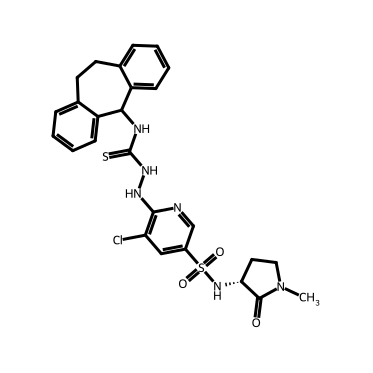 CN1CC[C@@H](NS(=O)(=O)c2cnc(NNC(=S)NC3c4ccccc4CCc4ccccc43)c(Cl)c2)C1=O